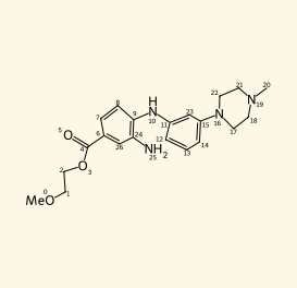 COCCOC(=O)c1ccc(Nc2cccc(N3CCN(C)CC3)c2)c(N)c1